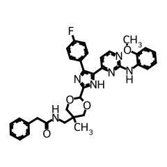 COc1ccccc1Nc1nccc(-c2[nH]c(C3OCC(C)(CNC(=O)Cc4ccccc4)CO3)nc2-c2ccc(F)cc2)n1